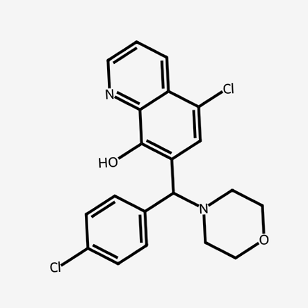 Oc1c(C(c2ccc(Cl)cc2)N2CCOCC2)cc(Cl)c2cccnc12